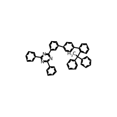 CC(c1ccccc1)(c1ccccc1)c1ccccc1-c1ccc(-c2cccc(-c3nc(-c4ccccc4)nc(-c4ccccc4)n3)c2)cc1